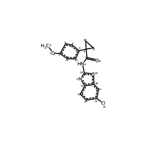 COc1ccc(C2(C(=O)Nc3nc4ccc(Cl)cc4s3)CC2)cc1